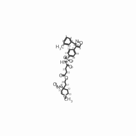 Cc1cccc(-c2nocc2-c2ccc(S(=O)(=O)NC(=O)CCC(=O)OCCC3(SN=O)CCN(C)CC3)cc2)c1